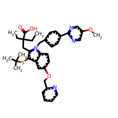 CCC(CC)(Cc1c(SC(C)(C)C)c2cc(OCc3ccccn3)ccc2n1Cc1ccc(-c2ncc(OC)cn2)cc1)C(=O)O